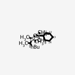 CCCCC(C)[Si](C)(C)O[Si](C)(C)C1C=CCCC1